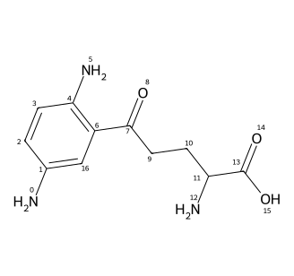 Nc1ccc(N)c(C(=O)CCC(N)C(=O)O)c1